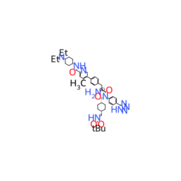 CCN(CC)C1CCC(NC(=O)c2cc(C)c(-c3ccc(C[C@H](N)C(=O)N(c4ccc(-c5nnn[nH]5)cc4)C(=O)[C@H]4CC[C@H](CNC(=O)OC(C)(C)C)CC4)cc3)cn2)CC1